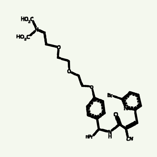 CCCC(NC(=O)C(C#N)=Cc1cccc(Br)n1)c1ccc(OCCOCCOCCN(C(=O)O)C(=O)O)cc1